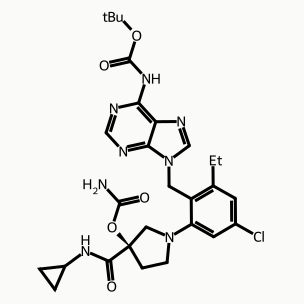 CCc1cc(Cl)cc(N2CC[C@](OC(N)=O)(C(=O)NC3CC3)C2)c1Cn1cnc2c(NC(=O)OC(C)(C)C)ncnc21